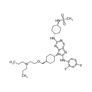 CCCN(CCC)CCOC[C@H]1CC[C@@H](n2c(Nc3ccc(F)cc3F)nc3cnc(N[C@H]4CC[C@H](NS(C)(=O)=O)CC4)nc32)CC1